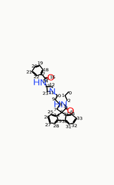 CCCNC(=O)C1(CCCCN2CC(NC(=O)c3ccccc3)C2)c2ccccc2-c2ccccc21